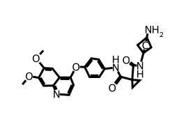 COc1cc2nccc(Oc3ccc(NC(=O)C4(C(=O)NC56CC(N)(C5)C6)CC4)cc3)c2cc1OC